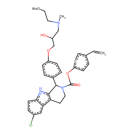 C=Cc1ccc(OC(=O)N2CCc3c([nH]c4ccc(Cl)cc34)C2c2ccc(OCC(O)CN(C)CCOC)cc2)cc1